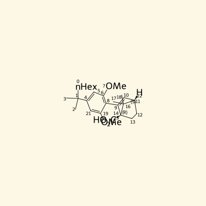 CCCCCCC(C)(C)c1cc(OC)c(C2=C[C@@H]3CC[C@@]2(C(=O)O)C3(C)C)c(OC)c1